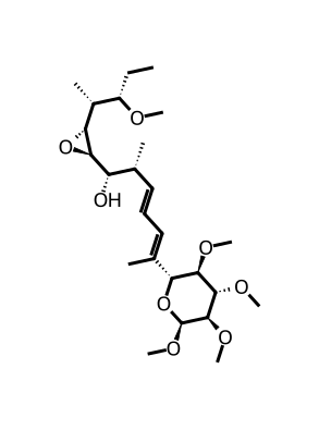 CC[C@H](OC)[C@@H](C)[C@H]1O[C@@H]1[C@@H](O)[C@H](C)/C=C/C=C(\C)[C@H]1O[C@H](OC)[C@H](OC)[C@@H](OC)[C@@H]1OC